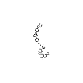 COc1ccc(C(C)C)c(N2CCS/C2=N\C(=O)NC(C)CCCc2ccc(-c3ncn(-c4ccc(OC(F)(F)F)cc4)n3)cc2)c1